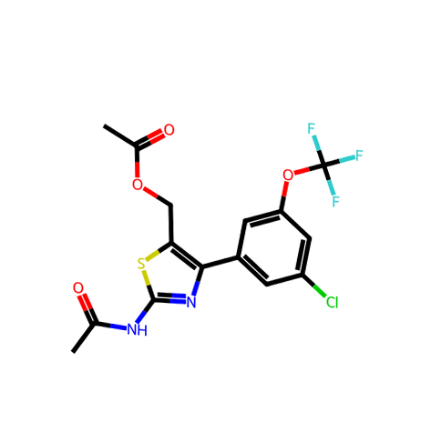 CC(=O)Nc1nc(-c2cc(Cl)cc(OC(F)(F)F)c2)c(COC(C)=O)s1